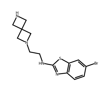 Brc1ccc2nc(NCCN3CC4(CNC4)C3)sc2c1